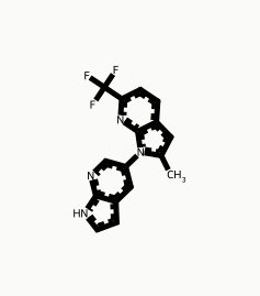 Cc1cc2ccc(C(F)(F)F)nc2n1-c1cnc2[nH]ccc2c1